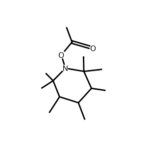 CC(=O)ON1C(C)(C)C(C)C(C)C(C)C1(C)C